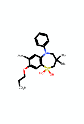 CCCCC1(CCCC)CN(c2ccccc2)c2cc(SC)c(OCCC(=O)O)cc2S(O)(O)C1